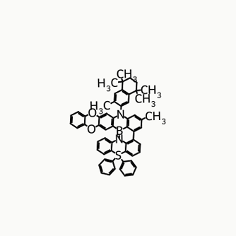 Cc1cc2c3c(c1)N(c1cc4c(cc1C)C(C)(C)CCC4(C)C)c1cc4c(cc1B3N1c3ccccc3S(c3ccccc3)(c3ccccc3)c3cccc-2c31)Oc1ccccc1O4